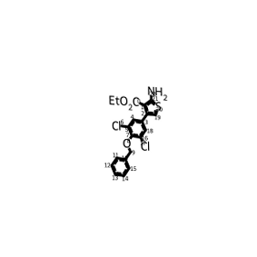 CCOC(=O)c1c(-c2cc(Cl)c(OCc3ccccc3)c(Cl)c2)csc1N